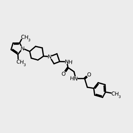 Cc1ccc(CC(=O)NCC(=O)NC2CN(C3CCC(n4c(C)ccc4C)CC3)C2)cc1